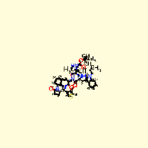 CCCn1cc(C[C@@H](NC(=O)C(C)(C)NC(=O)OC(C)(C)C)C(=O)NC2Cc3cccc(N4CCCC4=O)c3N(Cc3ccsc3)C2=O)c2ccccc21